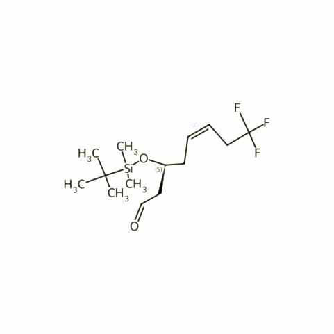 CC(C)(C)[Si](C)(C)O[C@H](CC=O)C/C=C\CC(F)(F)F